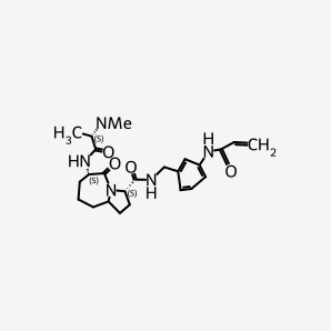 C=CC(=O)Nc1cccc(CNC(=O)[C@@H]2CCC3CCC[C@H](NC(=O)[C@H](C)NC)C(=O)N32)c1